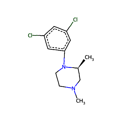 C[C@H]1CN(C)CCN1c1cc(Cl)cc(Cl)c1